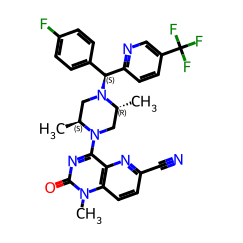 C[C@@H]1CN(c2nc(=O)n(C)c3ccc(C#N)nc23)[C@@H](C)CN1[C@@H](c1ccc(F)cc1)c1ccc(C(F)(F)F)cn1